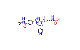 O=C(O)NCCCNc1nc(-c2ccncc2)cn2c(-c3ccc(C(=O)NC4CC4)cc3)cnc12